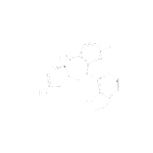 O=C(O)CC1SC(c2cccc3c2OCC3)c2cc(Cl)ccc2NC1=S